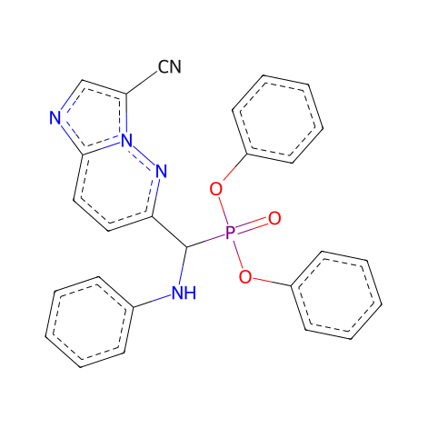 N#Cc1cnc2ccc(C(Nc3ccccc3)P(=O)(Oc3ccccc3)Oc3ccccc3)nn12